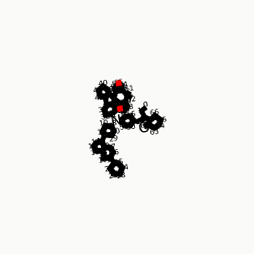 CCc1c(-c2ccc(N(c3ccc(-c4cccc5cc(-c6ccccc6)ccc45)cc3)c3ccc4c(c3)C3(c5ccccc5-4)c4ccccc4C(C)(C)c4ccccc43)cc2)oc2ccccc12